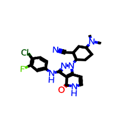 CN(C)C1CCC(n2nc(Nc3ccc(Cl)c(F)c3)c3c(=O)[nH]ccc32)C(C#N)C1